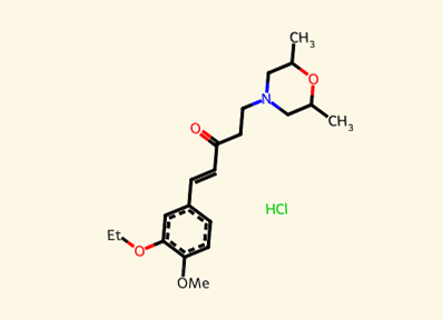 CCOc1cc(C=CC(=O)CCN2CC(C)OC(C)C2)ccc1OC.Cl